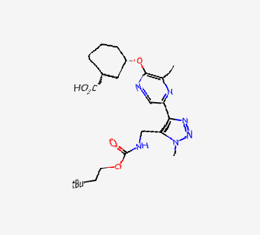 Cc1nc(-c2nnn(C)c2CNC(=O)OCCC(C)(C)C)cnc1O[C@H]1CCC[C@H](C(=O)O)C1